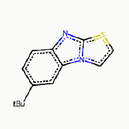 CC(C)(C)c1ccc2nc3sccn3c2c1